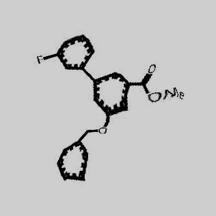 COC(=O)c1cc(OCc2ccccc2)cc(-c2cccc(F)c2)c1